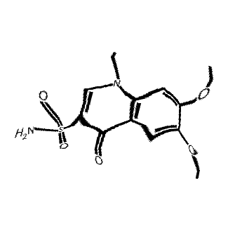 COc1cc2c(=O)c(S(N)(=O)=O)cn(C)c2cc1OC